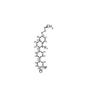 C=CCCc1ccc2c(F)c(-c3ccc(-c4ccc(Cl)c(F)c4)cc3)ccc2c1